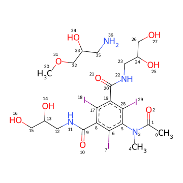 CC(=O)N(C)c1c(I)c(C(=O)NCC(O)CO)c(I)c(C(=O)NCC(O)CO)c1I.COCC(O)CN